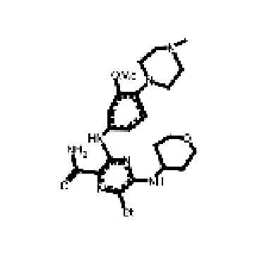 CCc1nc(C(N)=O)c(Nc2ccc(N3CCN(C)CC3)c(OC)c2)nc1NC1CCOCC1